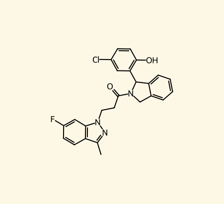 Cc1nn(CCC(=O)N2Cc3ccccc3C2c2cc(Cl)ccc2O)c2cc(F)ccc12